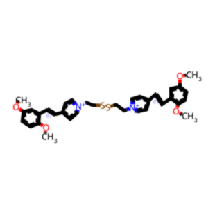 COc1ccc(OC)c(/C=C/c2cc[n+](CCSSCC[n+]3ccc(/C=C/c4cc(OC)ccc4OC)cc3)cc2)c1